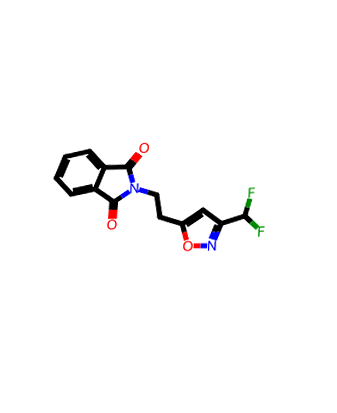 O=C1c2ccccc2C(=O)N1CCc1cc(C(F)F)no1